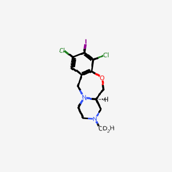 O=C(O)N1CCN2Cc3cc(Cl)c(I)c(Cl)c3OC[C@H]2C1